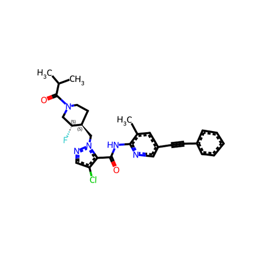 Cc1cc(C#Cc2ccccc2)cnc1NC(=O)c1c(Cl)cnn1C[C@@H]1CCN(C(=O)C(C)C)C[C@H]1F